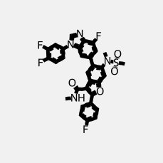 CNC(=O)c1c(-c2ccc(F)cc2)oc2cc(N(C)S(C)(=O)=O)c(-c3cc(F)c4ncn(-c5ccc(F)c(F)c5)c4c3)cc12